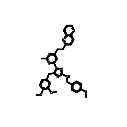 COc1ccc(CNc2nc(Cc3ccc(OC)c(OC)c3)n(-c3cc(CCc4ccc5ncccc5n4)nc(C)n3)n2)cc1